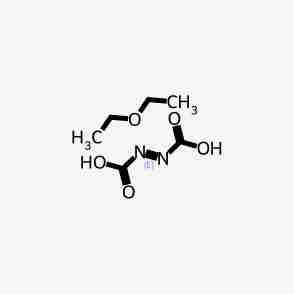 CCOCC.O=C(O)/N=N/C(=O)O